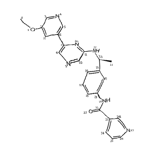 COc1cncc(-c2cncc(N[C@@H](C)c3cccc(NC(=O)c4cccnc4)c3)n2)c1